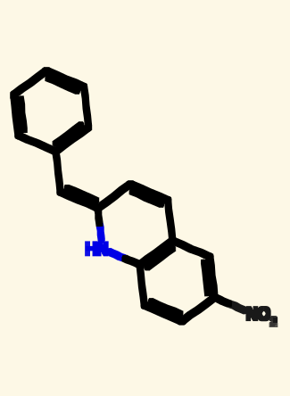 O=[N+]([O-])c1ccc2c(c1)C=CC(=Cc1ccccc1)N2